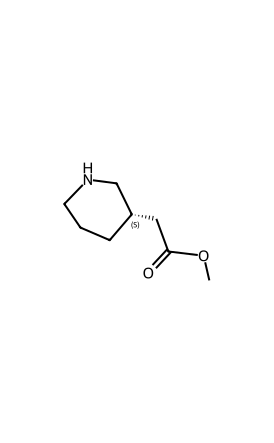 COC(=O)C[C@@H]1CCCNC1